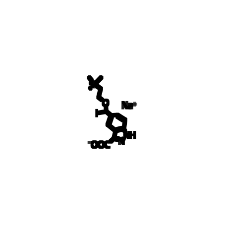 C[Si](C)(C)CCOC(I)c1ccc2[nH]nc(C(=O)[O-])c2c1.[Na+]